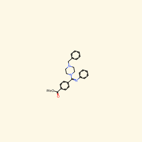 COC(=O)c1ccc(C(=Nc2ccccc2)N2CCN(Cc3ccccc3)CC2)cc1